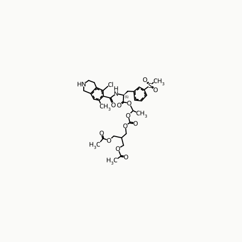 CC(=O)OCC(COC(C)=O)COC(=O)OC(C)OC(=O)[C@H](Cc1cccc(S(C)(=O)=O)c1)NC(=O)c1c(C)cc2c(c1Cl)CCNC2